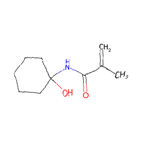 C=C(C)C(=O)NC1(O)CCCCC1